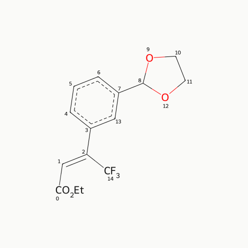 CCOC(=O)/C=C(/c1cccc(C2OCCO2)c1)C(F)(F)F